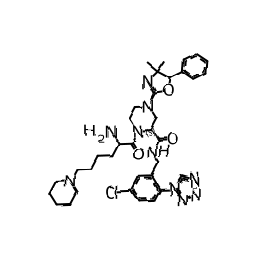 CC1(C)N=C(N2CCN(C(=O)C(N)CCCCN3CCCCC3)[C@H](C(=O)NCc3cc(Cl)ccc3-n3cnnn3)C2)OC1c1ccccc1